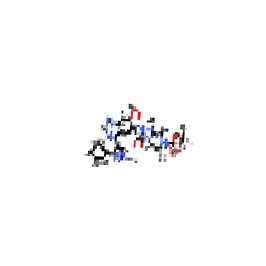 COc1cc2ncnc(-c3cn(C)nc3-c3ccccc3)c2cc1NC(=O)N1C[C@@H](C)N(C(=O)OC(C)(C)C)C[C@@H]1C